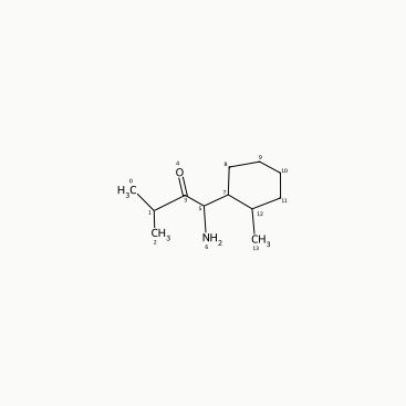 CC(C)C(=O)C(N)C1CCCCC1C